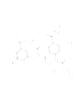 CCOC(=O)N1c2cc(OC)c(C(=O)NC)cc2[C@@H](N(Cc2cc(C(F)(F)F)cc(C(F)(F)F)c2)C(=O)OC)C[C@H]1C